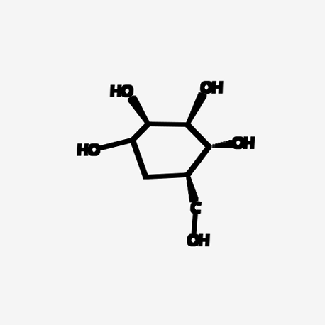 OC[C@H]1CC(O)[C@@H](O)[C@@H](O)[C@@H]1O